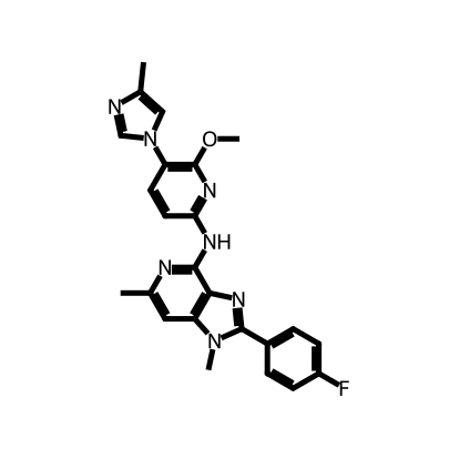 COc1nc(Nc2nc(C)cc3c2nc(-c2ccc(F)cc2)n3C)ccc1-n1cnc(C)c1